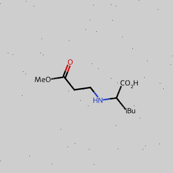 CCC(C)C(NCCC(=O)OC)C(=O)O